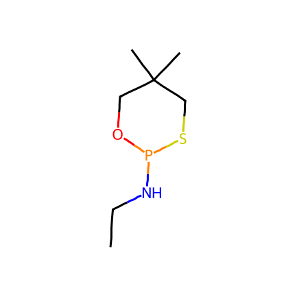 CCNP1OCC(C)(C)CS1